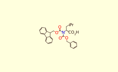 CC(C)C[C@@H](C(=O)O)N(C(=O)OCc1ccccc1)C(=O)OCC1c2ccccc2-c2ccccc21